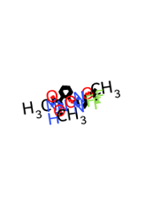 CNC(=O)C(=NOC)c1ccccc1Oc1nccc(OC(C)C(F)(F)F)n1